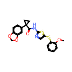 COc1ccccc1Sc1cnc(NC(=O)C2(c3ccc4c(c3)OCO4)CC2)s1